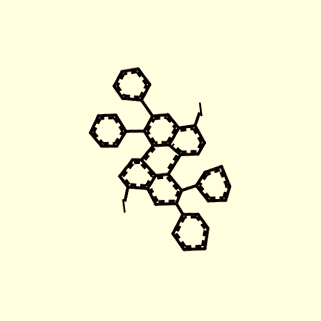 Ic1ccc2c3c(-c4ccccc4)c(-c4ccccc4)cc4c(I)ccc(c5c(-c6ccccc6)c(-c6ccccc6)cc1c25)c43